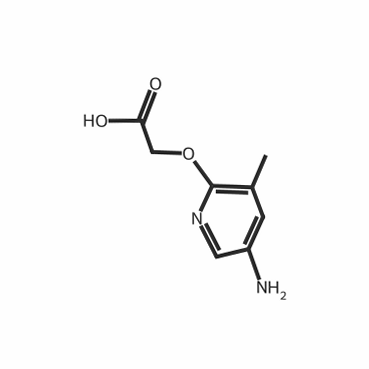 Cc1cc(N)cnc1OCC(=O)O